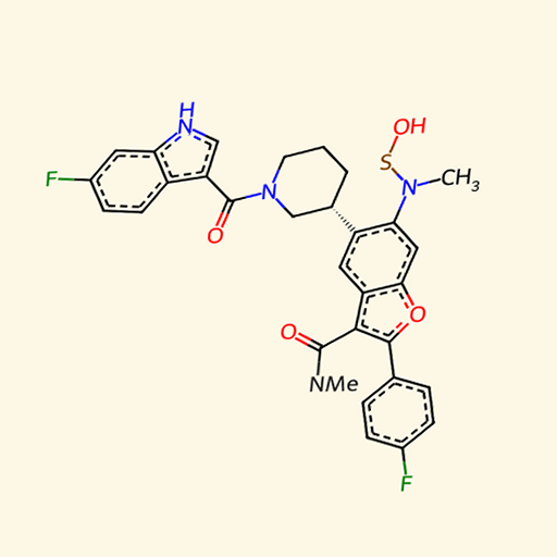 CNC(=O)c1c(-c2ccc(F)cc2)oc2cc(N(C)SO)c([C@H]3CCCN(C(=O)c4c[nH]c5cc(F)ccc45)C3)cc12